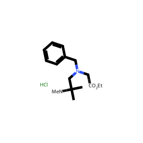 CCOC(=O)CN(Cc1ccccc1)CC(C)(C)NC.Cl